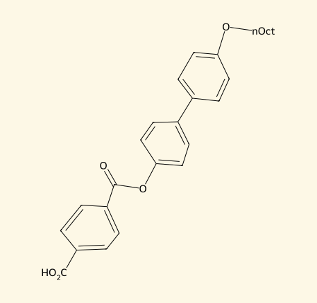 CCCCCCCCOc1ccc(-c2ccc(OC(=O)c3ccc(C(=O)O)cc3)cc2)cc1